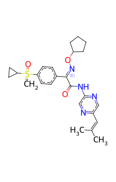 C=S(=O)(c1ccc(/C(=N\OC2CCCC2)C(=O)Nc2cnc(C=C(C)C)cn2)cc1)C1CC1